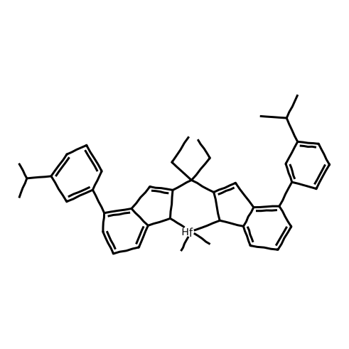 CCC1(CC)C2=Cc3c(-c4cccc(C(C)C)c4)cccc3[CH]2[Hf]([CH3])([CH3])[CH]2C1=Cc1c(-c3cccc(C(C)C)c3)cccc12